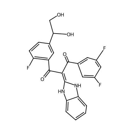 O=C(C(C(=O)c1cc(C(O)CO)ccc1F)=C1Nc2ccccc2N1)c1cc(F)cc(F)c1